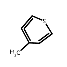 CC1=C=CSC=C1